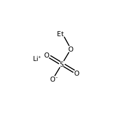 CCOS(=O)(=O)[O-].[Li+]